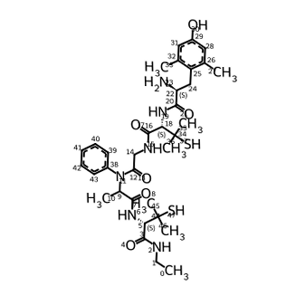 CCNC(=O)[C@H](NC(=O)C(C)N(C(=O)CNC(=O)[C@H](NC(=O)[C@@H](N)Cc1c(C)cc(O)cc1C)C(C)(C)S)c1ccccc1)C(C)(C)S